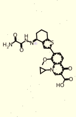 COc1c(-c2cc3c(s2)CCC/C3=N\NC(=O)C(N)=O)ccc2c(=O)c(C(=O)O)cn(C3CC3)c12